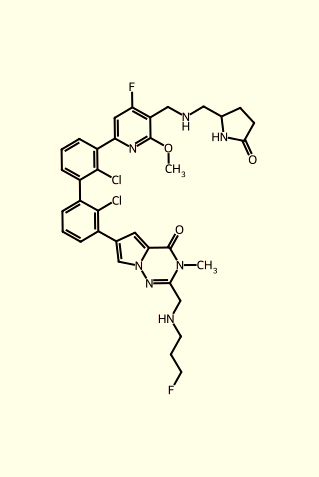 COc1nc(-c2cccc(-c3cccc(-c4cc5c(=O)n(C)c(CNCCCF)nn5c4)c3Cl)c2Cl)cc(F)c1CNCC1CCC(=O)N1